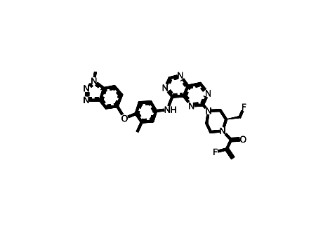 C=C(F)C(=O)N1CCN(c2ncc3ncnc(Nc4ccc(Oc5ccc6c(c5)nnn6C)c(C)c4)c3n2)C[C@H]1CF